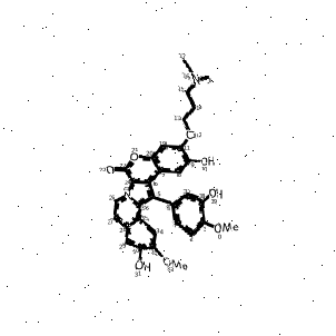 COc1ccc(-c2c3c4cc(O)c(OCCCN(C)C)cc4oc(=O)c3n3ccc4cc(O)c(OC)cc4c23)cc1O